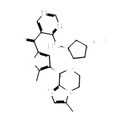 [CH2][C@@H]1C[C@@H](Nc2ncncc2C(=O)c2cc([C@H]3OCCn4c(C)cnc43)c(C)s2)C[C@@H]1O